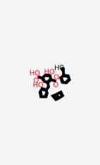 C#Cc1ccccc1OC(=O)c1c(O)cc(C(=O)O)c(O)c1Cc1ccccc1.c1cc2ccc1-2